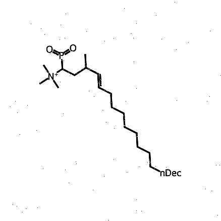 CCCCCCCCCCCCCCCCCCC=CC(C)CC(P(=O)=O)[N+](C)(C)C